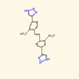 O=S(=O)(O)c1cc(-c2c[nH]nn2)ccc1/C=C/c1ccc(-c2c[nH]nn2)cc1S(=O)(=O)O